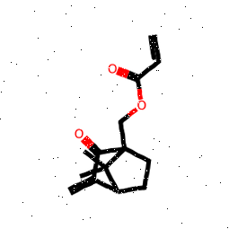 C=CC(=O)OCC12CCC(C(=C)C1=O)C2(C)C